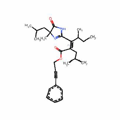 CCC(C)/C(C1=NC(C)(CC(C)C)C(=O)N1)=C(\CC(C)C)C(=O)OCC#Cc1ccccc1